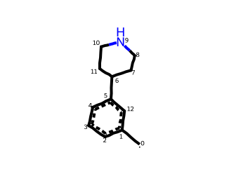 [CH2]c1cccc(C2CCNCC2)c1